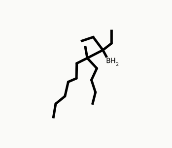 BC(CC)(CC)C(C)(CCCC)CCCCCC